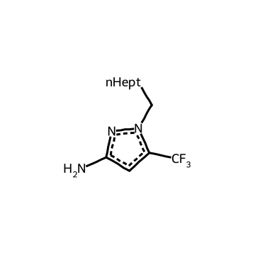 CCCCCCCCn1nc(N)cc1C(F)(F)F